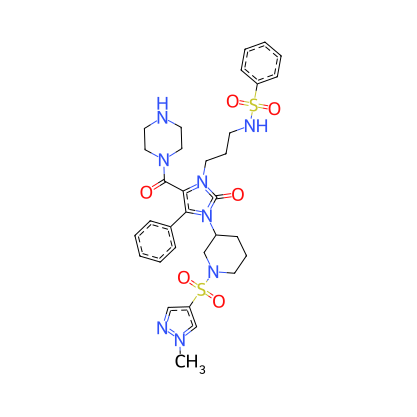 Cn1cc(S(=O)(=O)N2CCCC(n3c(-c4ccccc4)c(C(=O)N4CCNCC4)n(CCCNS(=O)(=O)c4ccccc4)c3=O)C2)cn1